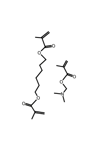 C=C(C)C(=O)OCCCCCCOC(=O)C(=C)C.C=C(C)C(=O)OCN(C)C